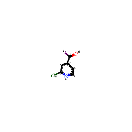 O=C(I)c1ccnc(Cl)c1